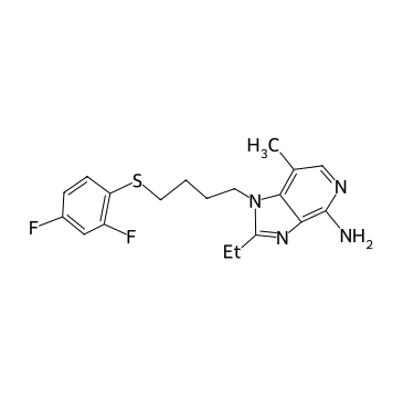 CCc1nc2c(N)ncc(C)c2n1CCCCSc1ccc(F)cc1F